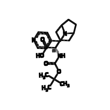 CC(C)(C)OC(=O)N[C@H](C(=O)O)C1CC2CCC(C1)N2Cc1ccncc1